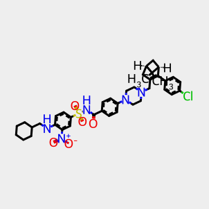 CC1(C)[C@H]2CC(CN3CCN(c4ccc(C(=O)NS(=O)(=O)c5ccc(NCC6CCCCC6)c([N+](=O)[O-])c5)cc4)CC3)=C(c3ccc(Cl)cc3)[C@@H]1C2